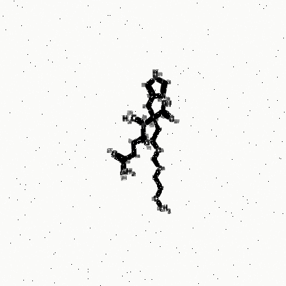 COCCOCOCC[C@@](Cc1c[nH]cn1)(C(=O)O)N(C)C(=O)CCC(N)=O